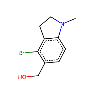 CN1CCc2c1ccc(CO)c2Br